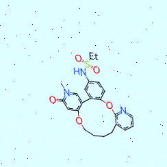 CCS(=O)(=O)Nc1ccc2c(c1)-c1cn(C)c(=O)cc1OCCCCc1cccnc1O2